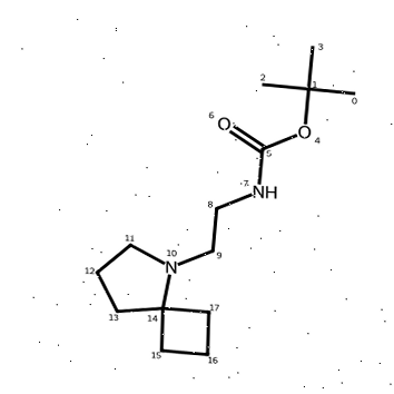 CC(C)(C)OC(=O)NCCN1CCCC12CCC2